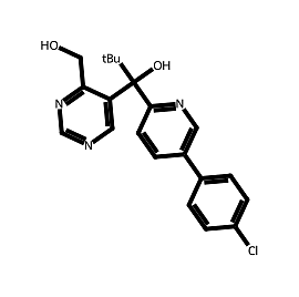 CC(C)(C)C(O)(c1ccc(-c2ccc(Cl)cc2)cn1)c1cncnc1CO